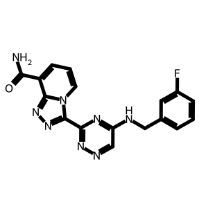 NC(=O)c1cccn2c(-c3nncc(NCc4cccc(F)c4)n3)nnc12